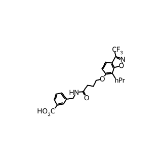 CCCc1c(OCCCC(=O)NCc2cccc(C(=O)O)c2)ccc2c(C(F)(F)F)noc12